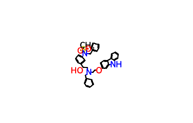 CS(=O)(=O)N(Cc1ccccc1)c1cccc([C@H](O)CN(CCOc2ccc3c(c2)[nH]c2ccccc23)Cc2ccccc2)c1